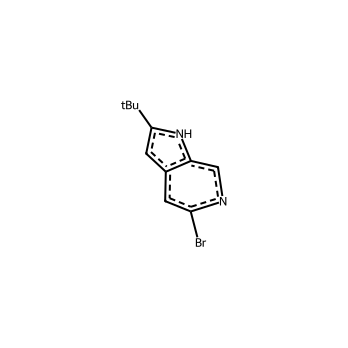 CC(C)(C)c1cc2cc(Br)ncc2[nH]1